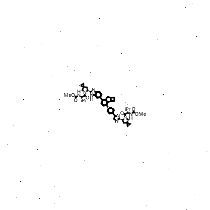 COC(=O)N[C@H](C(=O)N1CC2(CC2)C[C@H]1C1=NCC(c2ccc(-c3ccc(-c4ccc5nc([C@@H]6CC7(CC7)CN6C(=O)[C@@H](NC(=O)OC)C(C)C)[nH]c5c4)c4c3C3CCC3C4)cc2)=N1)C(C)C